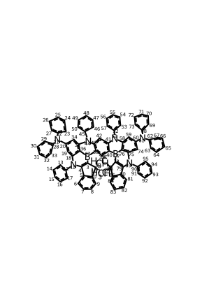 CC1(C)C2=C(c3ccccc31)N(c1ccccc1)c1cc(N(c3ccccc3)c3ccccc3)cc3c1B2c1cc2c(cc1N3c1ccccc1)N(c1ccccc1)c1cc(N(c3ccccc3)c3ccccc3)cc3c1B2C1=C(c2ccccc2C1(C)C)N3c1ccccc1